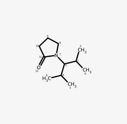 CC(C)C(C(C)C)N1CCCC1=O